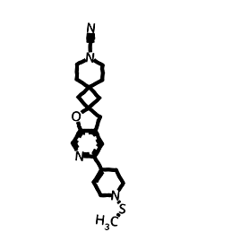 CSN1CC=C(c2cc3c(cn2)OC2(C3)CC3(CCN(C#N)CC3)C2)CC1